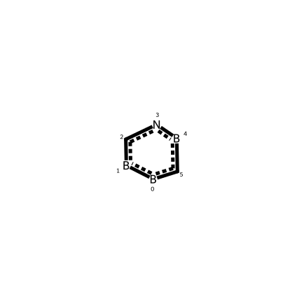 b1bcnbc1